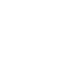 Cc1cc(C)c(-n2nnc3[c]c(CCCl)c(C)nc32)c(C)c1